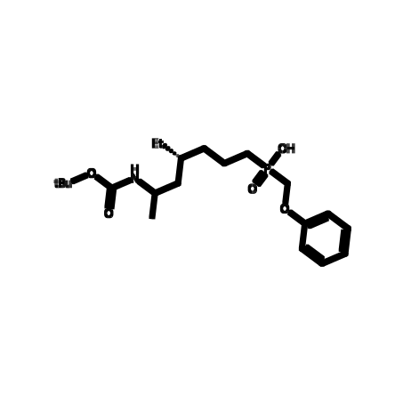 CC[C@H](CCCP(=O)(O)COc1ccccc1)CC(C)NC(=O)OC(C)(C)C